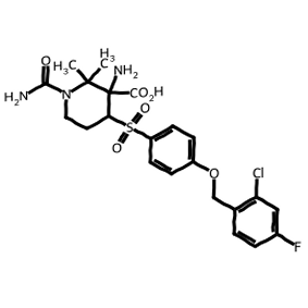 CC1(C)N(C(N)=O)CCC(S(=O)(=O)c2ccc(OCc3ccc(F)cc3Cl)cc2)C1(N)C(=O)O